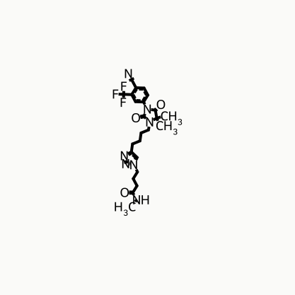 CNC(=O)CCCn1cc(CCCCN2C(=O)N(c3ccc(C#N)c(C(F)(F)F)c3)C(=O)C2(C)C)nn1